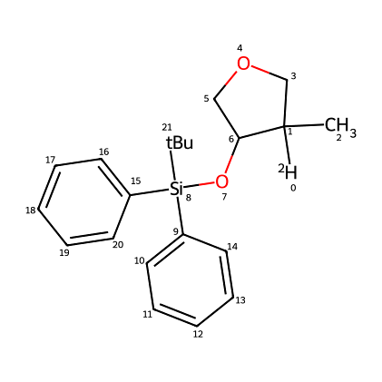 [2H]C1(C)COCC1O[Si](c1ccccc1)(c1ccccc1)C(C)(C)C